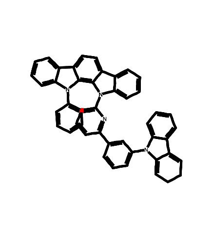 C1=c2c(n(-c3cccc(-c4cccc(-n5c6ccccc6c6ccc7c8ccccc8n(-c8ccccc8)c7c65)n4)c3)c3ccccc23)=CCC1